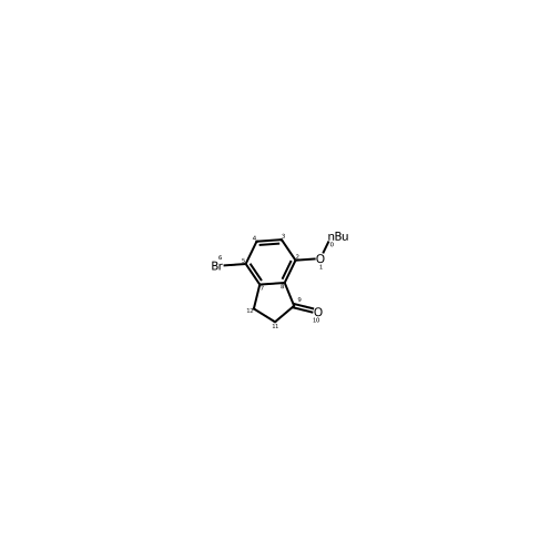 CCCCOc1ccc(Br)c2c1C(=O)CC2